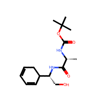 C[C@@H](NC(=O)OC(C)(C)C)C(=O)N[C@H](CO)C1C=CC=CC1